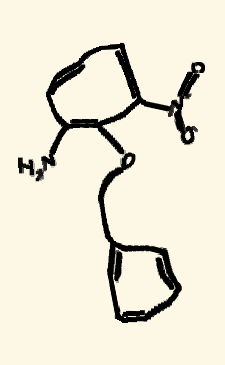 Nc1cccc([N+](=O)[O-])c1OCc1ccccc1